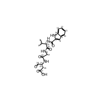 CC(C)[C@H](NC(=O)c1cc2ccccc2[nH]1)C(=O)NCC(=O)N[C@H](C=O)CC(=O)O